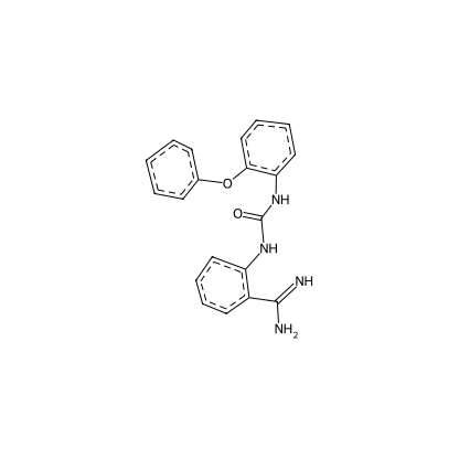 N=C(N)c1ccccc1NC(=O)Nc1ccccc1Oc1ccccc1